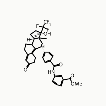 COC(=O)c1cccc(NC(=O)c2ccc([C@H]3CC4(C)[C@@H](CC[C@@]4(O)C(F)(F)C(F)(F)F)C4CCC5=CC(=O)CCC5=C43)cc2)c1